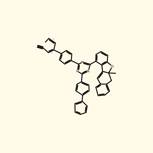 C#C/C=C(\C=C/C)c1ccc(-c2nc(-c3ccc(-c4ccccc4)cc3)nc(-c3cccc4c3C3=Cc5ccccc5CC3(C)O4)n2)cc1